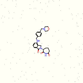 O=C1CCC[C@H](N2Cc3c(NCc4ccc(CN5CCOCC5)cc4)cccc3C2=O)C(=O)N1